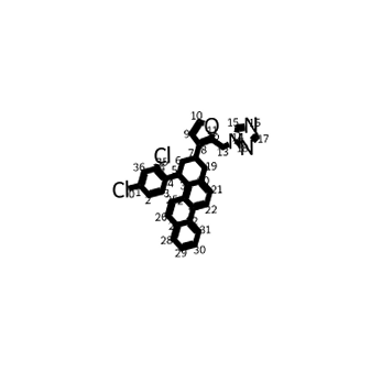 Clc1ccc(C2CC(c3ccoc3Cn3cncn3)Cc3ccc4c(ccc5ccccc54)c32)c(Cl)c1